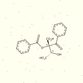 O=C(O[C@](C(=O)O)(C(=O)c1ccccc1)[C@H](O)C(=O)O)c1ccccc1